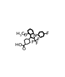 COc1cccc2c1c(C1CCC(C(=O)O)CC1)c(C(F)(F)F)n2-c1ccc(F)cc1